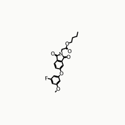 CCCCOC(=O)CN1C(=O)c2ccc(Oc3cc(F)cc(OC)c3)cc2C1=O